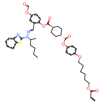 C=CC(=O)OCCCCCCOc1ccc(OC(=O)[C@H]2CC[C@H](C(=O)Oc3ccc(OC=O)cc3/C=N/N(c3nc4ccccc4s3)C(C)CCCC)CC2)cc1